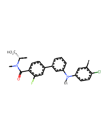 CCN(c1cccc(-c2ccc(C(=O)N(C)[C@@H](C)C(=O)O)c(F)c2)c1)c1ccc(Cl)c(C)c1